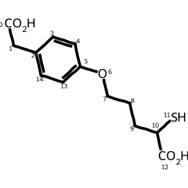 O=C(O)Cc1ccc(OCCCC(S)C(=O)O)cc1